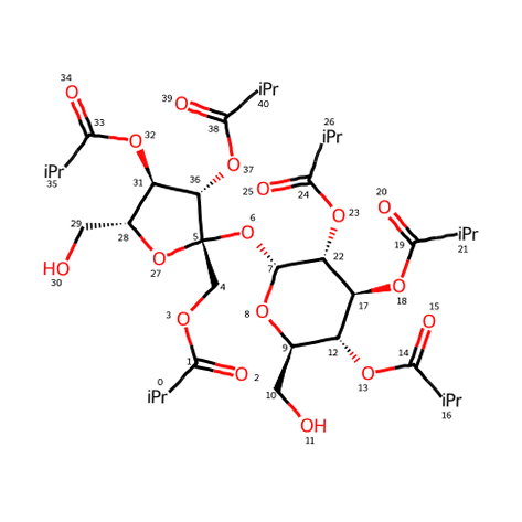 CC(C)C(=O)OC[C@@]1(O[C@H]2O[C@H](CO)[C@@H](OC(=O)C(C)C)[C@H](OC(=O)C(C)C)[C@H]2OC(=O)C(C)C)O[C@H](CO)[C@@H](OC(=O)C(C)C)[C@@H]1OC(=O)C(C)C